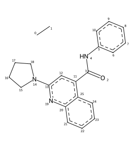 CC.O=C(Nc1ccccc1)c1cc(N2CCCC2)nc2ccccc12